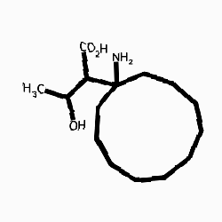 CC(O)C(C(=O)O)C1(N)CCCCCCCCCC1